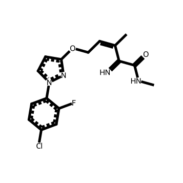 CNC(=O)C(=N)C(C)=CCOc1ccn(-c2ccc(Cl)cc2F)n1